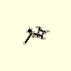 O=CCCCCCCCCCC(NC(=O)CCC(C(=O)O)N1CCN(CC(=O)O)CCN(CC(=O)O)CCN(CC(=O)O)CC1)Oc1c(F)c(F)cc(F)c1F